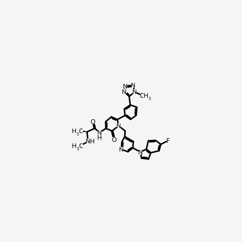 CN[C@@H](C)C(=O)Nc1ccc(-c2cccc(-c3nnnn3C)c2)n(Cc2cncc(-n3ccc4cc(F)ccc43)c2)c1=O